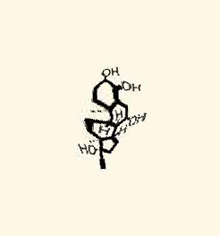 C#C[C@]1(O)CC[C@H]2[C@@H]3[C@H](O)CC4=C(O)[C@H](O)CC[C@]4(C)[C@H]3CC[C@@]21C